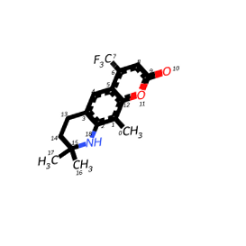 Cc1c2c(cc3c(C(F)(F)F)cc(=O)oc13)CCC(C)(C)N2